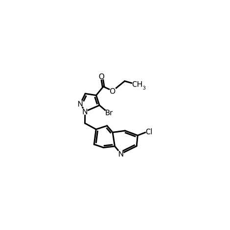 CCOC(=O)c1cnn(Cc2ccc3ncc(Cl)cc3c2)c1Br